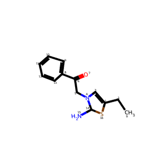 CCC1=CN(CC(=O)c2ccccc2)C(N)S1